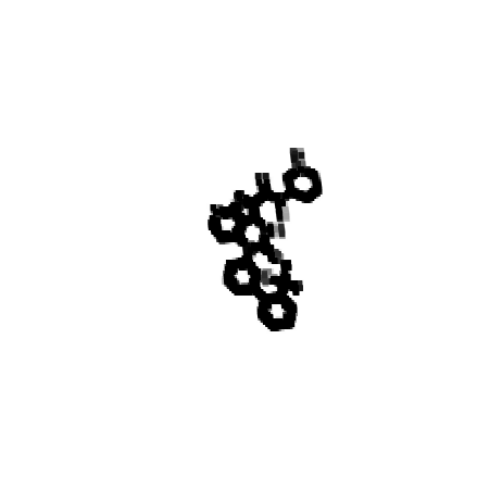 O=C(N[C@@H]1CCCNC1)c1sc2nccc3c2c1NC(=O)N3c1cccc(-c2ccccc2C(F)(F)F)c1